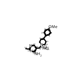 COc1ccc(C2=CCN(Cc3cnc(C)nc3N)CC2)cc1.Cl.Cl